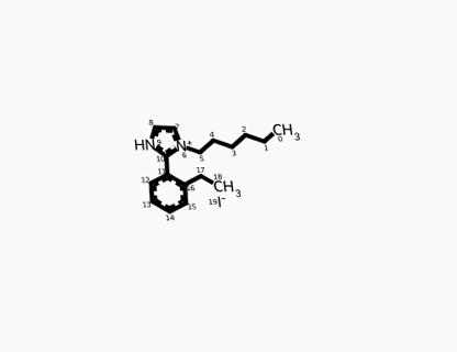 CCCCCC[n+]1cc[nH]c1-c1ccccc1CC.[I-]